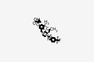 Cc1cc(CN2CCN(c3nc4ccc(C(F)(F)F)cc4s3)[C@H](CC(C)C)C2)cc(OC2(C(=O)O)CC2)c1